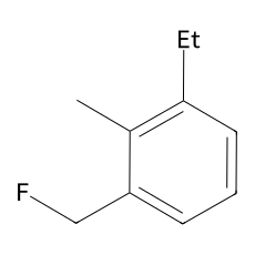 CCc1cccc(CF)c1C